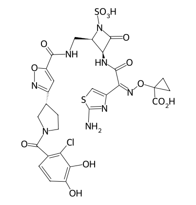 Nc1nc(/C(=N/OC2(C(=O)O)CC2)C(=O)N[C@@H]2C(=O)N(S(=O)(=O)O)[C@@H]2CNC(=O)c2cc([C@@H]3CCN(C(=O)c4ccc(O)c(O)c4Cl)C3)no2)cs1